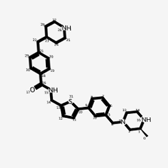 C[C@H]1CN(Cc2cccc(-c3ccc(CNC(=O)c4ccc(CC5CCNCC5)cc4)s3)c2)CCN1